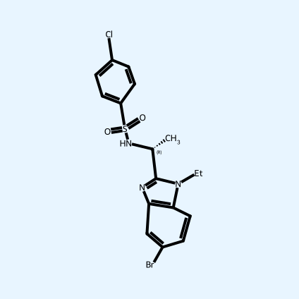 CCn1c([C@@H](C)NS(=O)(=O)c2ccc(Cl)cc2)nc2cc(Br)ccc21